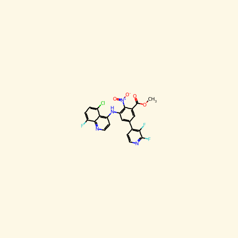 COC(=O)c1cc(-c2ccnc(F)c2F)cc(Nc2ccnc3c(F)ccc(Cl)c23)c1[N+](=O)[O-]